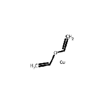 C=COC=C.[Cu]